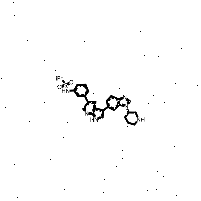 CC(C)S(=O)(=O)Nc1cccc(-c2cnc3[nH]cc(-c4ccc5ncn(C6CCCNC6)c5c4)c3c2)c1